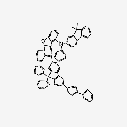 CC1(C)c2ccccc2-c2ccc(N(c3ccccc3)c3cccc4oc5c6ccccc6c(-c6ccc7c(c6)C(c6ccccc6)(c6ccccc6)c6ccc(-c8ccc(-c9ccccc9)cc8)cc6-7)cc5c34)cc21